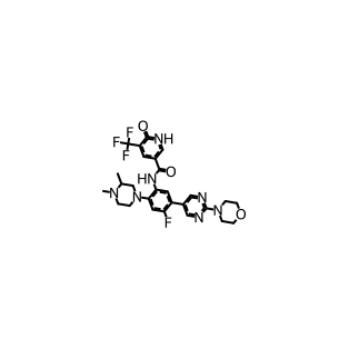 CC1CN(c2cc(F)c(-c3cnc(N4CCOCC4)nc3)cc2NC(=O)c2c[nH]c(=O)c(C(F)(F)F)c2)CCN1C